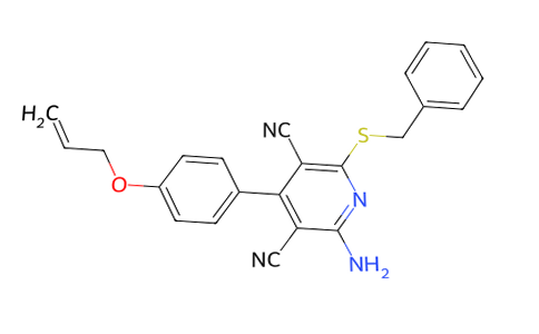 C=CCOc1ccc(-c2c(C#N)c(N)nc(SCc3ccccc3)c2C#N)cc1